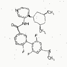 CSc1cc(F)c(-c2nc(C(=O)Nc3cnccc3[C@H]3CC(C)C[C@@H](C)C3)ccc2F)c(F)c1